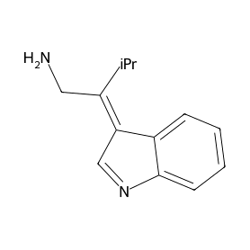 CC(C)/C(CN)=C1/C=Nc2ccccc21